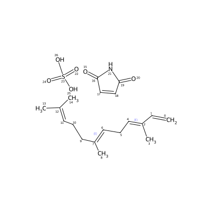 C=C/C(C)=C/C/C=C(\C)CCC=C(C)C.O=C1C=CC(=O)N1.O=S(=O)(O)O